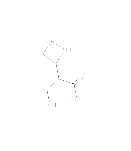 CCC(C(=O)O)C1CCN1